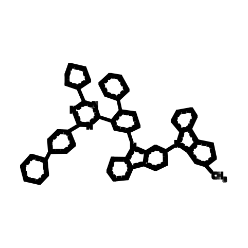 Cc1ccc2c3ccccc3n(-c3ccc4c5ccccc5n(-c5ccc(-c6ccccc6)c(-c6nc(-c7ccccc7)nc(-c7ccc(-c8ccccc8)cc7)n6)c5)c4c3)c2c1